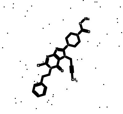 CC#CCn1c(N2CCN(C(=O)OC(C)(C)C)CC2)nc2nc(Cl)n(CCc3ccccc3)c(=O)c21